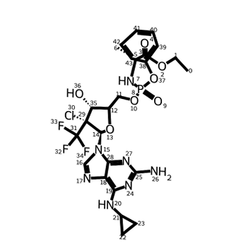 CCOC(=O)[C@@H](C)NP(=O)(OCC1O[C@@H](n2cnc3c(NC4CC4)nc(N)nc32)[C@@](Cl)(C(F)(F)F)[C@@H]1O)Oc1ccccc1